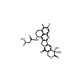 CCC[C@@]1(O)C(=O)OCc2c1cc1n(c2=O)Cc2c-1nc1cc(F)c(C)c3c1c2[C@@H](NC(=O)CC(C)O)CC3